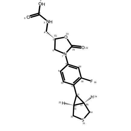 O=C(O)NC[C@H]1CN(c2ccc(C3[C@H]4CSC[C@@H]34)c(F)c2)C(=O)O1